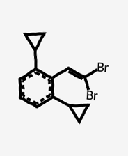 BrC(Br)=Cc1c(C2CC2)cccc1C1CC1